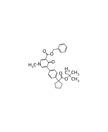 Cn1cc(C(=O)OCc2ccccc2)c(=O)c(-c2ccc(C3(C(=O)OC(C)(C)C)CCCC3)cc2)c1